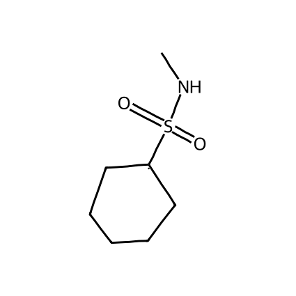 CNS(=O)(=O)[C]1CCCCC1